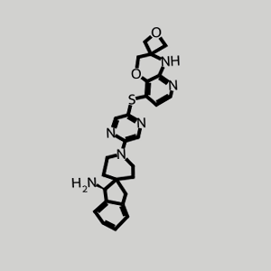 N[C@@H]1c2ccccc2CC12CCN(c1cnc(Sc3ccnc4c3OCC3(COC3)N4)cn1)CC2